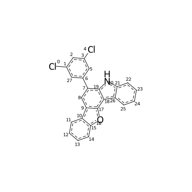 Clc1cc(Cl)cc(-c2cc3c4ccccc4oc3c3c2[nH]c2ccccc23)c1